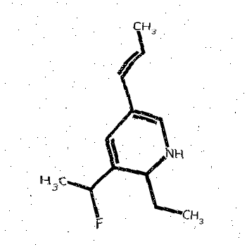 C/C=C/C1=CNC(CC)C(C(C)F)=C1